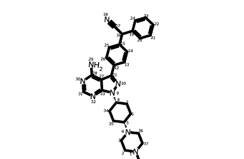 CN1CCN([C@H]2CC[C@@H](n3nc(-c4ccc(C(C#N)c5ccccc5)cc4)c4c(N)ncnc43)CC2)CC1